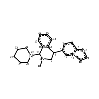 CN1CC(c2ccc3nccn3c2)c2ccccc2C1N1CCCCC1